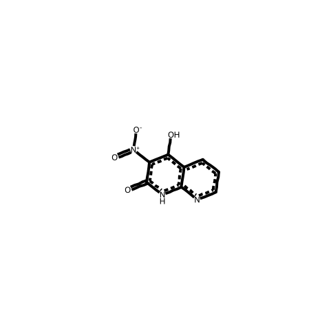 O=c1[nH]c2ncccc2c(O)c1[N+](=O)[O-]